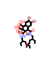 CCCCC(CC)CNC(=O)C1=c2cc(Br)c(Br)cc2=C(C(=O)O)C(Br)(C(=O)O)C1(Br)C(=O)NCC(CC)CCCC